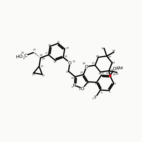 COc1ccc(F)c(-c2onc(COc3cccc([C@@H](CC(=O)O)C4CC4)c3)c2OC2CC(C)(C)CC(C)(C)C2)c1